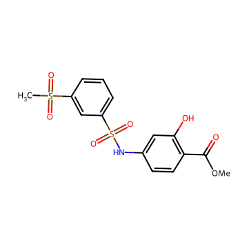 COC(=O)c1ccc(NS(=O)(=O)c2cccc(S(C)(=O)=O)c2)cc1O